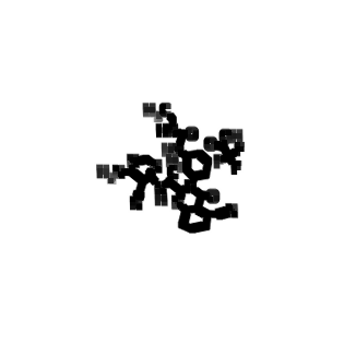 CCNC(=O)Nc1cccc(-n2c([C@H](C)Nc3ncnc(N)c3C#N)nc3cccc(C#N)c3c2=O)c1.O=C(O)C(F)(F)F